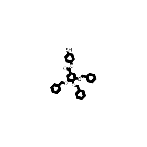 O=C(Oc1ccc(S)cc1)c1cc(OCc2ccccc2)c(OCc2ccccc2)c(OCc2ccccc2)c1